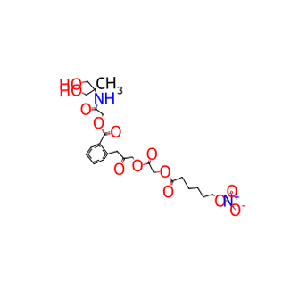 CC(CO)(CO)NC(=O)COC(=O)c1ccccc1CC(=O)COC(=O)COC(=O)CCCCCO[N+](=O)[O-]